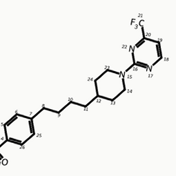 CS(=O)(=O)c1ccc(CCCCC2CCN(c3nccc(C(F)(F)F)n3)CC2)cc1